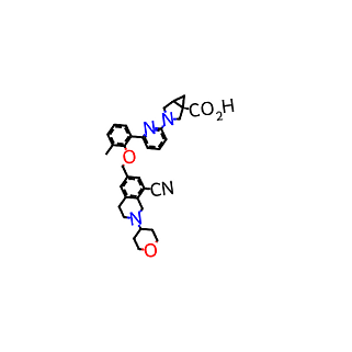 Cc1cccc(-c2cccc(N3CC4C[C@]4(C(=O)O)C3)n2)c1OCc1cc(C#N)c2c(c1)CCN(C1CCOCC1)C2